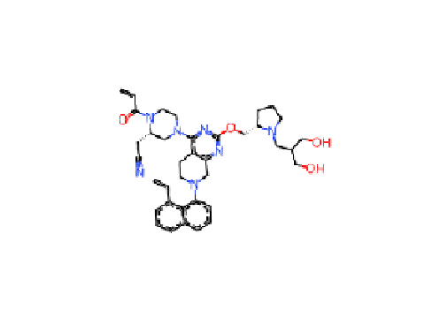 C=CC(=O)N1CCN(c2nc(OC[C@@H]3CCCN3CC(CO)CO)nc3c2CCN(c2cccc4cccc(C=C)c24)C3)C[C@@H]1CC#N